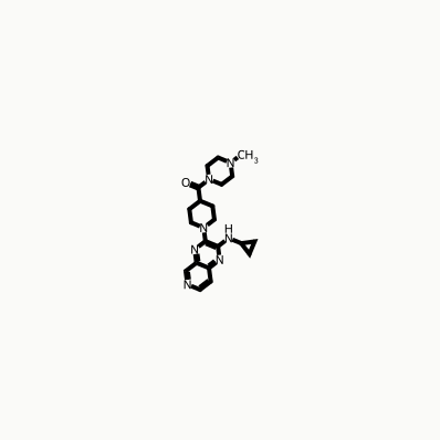 CN1CCN(C(=O)C2CCN(c3nc4cnccc4nc3NC3CC3)CC2)CC1